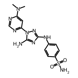 CN(C)c1cc(-n2nc(Nc3ccc(S(N)(=O)=O)cc3)nc2N)ncn1